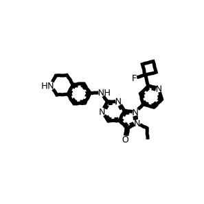 CCn1c(=O)c2cnc(Nc3ccc4c(c3)CCNC4)nc2n1-c1ccnc(C2(F)CCC2)c1